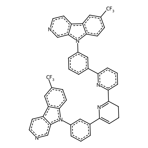 FC(F)(F)c1ccc2c(c1)c1ccncc1n2-c1cccc(C2=CCCC(c3cccc(-c4cccc(-n5c6ccc(C(F)(F)F)cc6c6ccncc65)c4)n3)=N2)c1